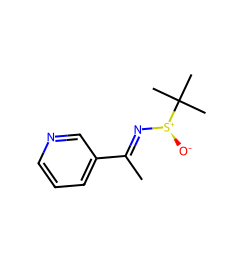 CC(=N[S@+]([O-])C(C)(C)C)c1cccnc1